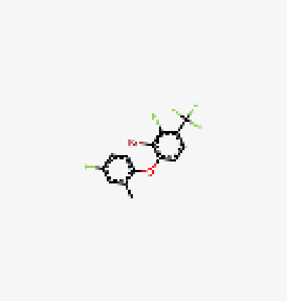 Cc1cc(F)ccc1Oc1ccc(C(F)(F)F)c(F)c1Br